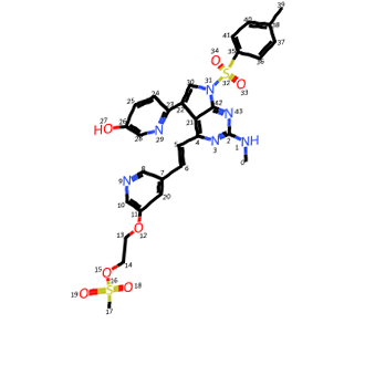 CNc1nc(C=Cc2cncc(OCCOS(C)(=O)=O)c2)c2c(-c3ccc(O)cn3)cn(S(=O)(=O)c3ccc(C)cc3)c2n1